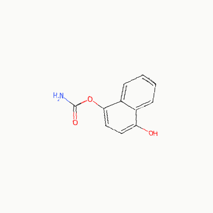 NC(=O)Oc1ccc(O)c2ccccc12